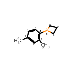 Cc1ccc(P2CCC2)c(C)c1